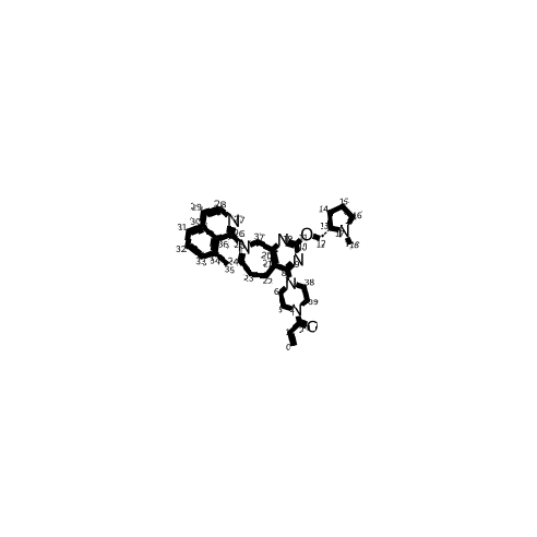 C=CC(=O)N1CCN(c2nc(OC[C@@H]3CCCN3C)nc3c2CCCN(c2nccc4cccc(C)c24)C3)CC1